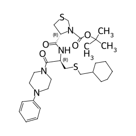 CC(C)(C)OC(=O)N1CSC[C@H]1C(=O)N[C@@H](CSCC1CCCCC1)C(=O)N1CCN(c2ccccc2)CC1